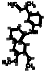 C=CC(C)c1cccc(Nc2ncnc3cc(OC)c(OC)cc23)c1